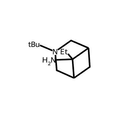 CCC1(N)C2CC1CN(C(C)(C)C)C2